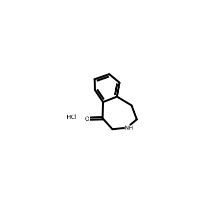 Cl.O=C1CNCCc2ccccc21